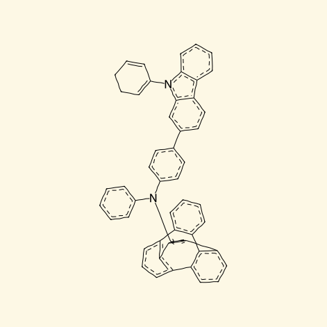 C1=CC(n2c3ccccc3c3ccc(-c4ccc(N(C5=CC6c7c8cccc7-c7cccc(c7-c7ccccc7-8)C6C=C5)c5ccccc5)cc4)cc32)=CCC1